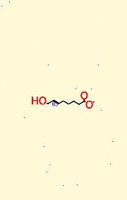 COC(=O)CCCC/C=C/CO